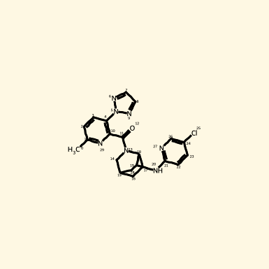 Cc1ccc(-n2nccn2)c(C(=O)N2CC3CCC2C(Nc2ccc(Cl)cn2)C3)n1